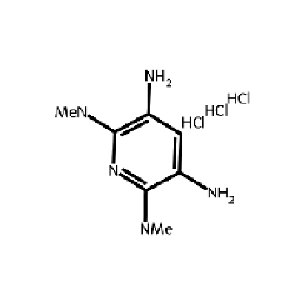 CNc1nc(NC)c(N)cc1N.Cl.Cl.Cl